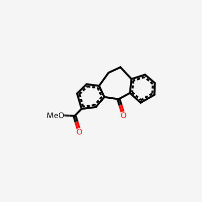 COC(=O)c1ccc2c(c1)C(=O)c1ccccc1CC2